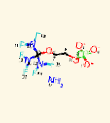 N.[O-][Cl+3]([O-])([O-])OCCOC(N(F)F)(N(F)F)N(F)F